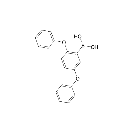 OB(O)c1cc(Oc2ccccc2)ccc1Oc1ccccc1